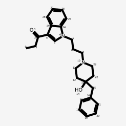 CCC(=O)c1cn(CCCN2CCC(O)(Cc3ccccc3)CC2)c2ccccc12